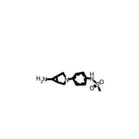 CS(=O)(=O)Nc1ccc(N2CC3C(N)C3C2)cc1